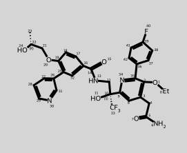 CCOc1c(CC(N)=O)cc([C@@](O)(CNC(=O)c2ccc(OC[C@@H](C)O)c(-c3cccnc3)c2)C(F)(F)F)nc1-c1ccc(F)cc1